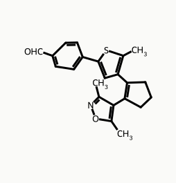 Cc1noc(C)c1C1=C(c2cc(-c3ccc(C=O)cc3)sc2C)CCC1